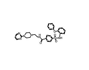 O=C(NCCN1CCN(c2ncccn2)CC1)c1ccc(S(=O)(=O)Nc2ccccc2Oc2ccccc2)cc1